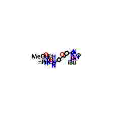 CCCN(Cc1ncc(-c2ccc(-c3cc4cc(-c5cnc([C@@H]6CCCN6C(=O)C[C@H](C)CC)[nH]5)ccc4o3)cc2)[nH]1)C(=O)[C@H](CC)NC(=O)OC